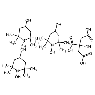 CC1(C)CC(O)CC(C)(C)N1O.CC1(C)CC(O)CC(C)(C)N1O.CC1(C)CC(O)CC(C)(C)N1O.O=C(O)CC(O)(CC(=O)O)C(=O)O